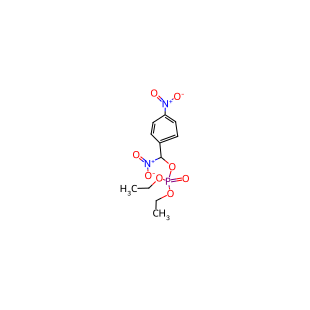 CCOP(=O)(OCC)OC(c1ccc([N+](=O)[O-])cc1)[N+](=O)[O-]